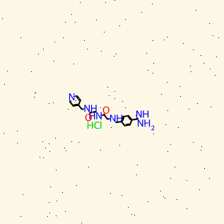 Cl.N=C(N)c1ccc(CNCC(=O)NCC(=O)NCc2ccncc2)cc1